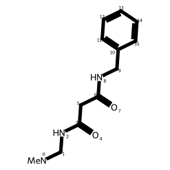 CNCNC(=O)CC(=O)NCc1ccccc1